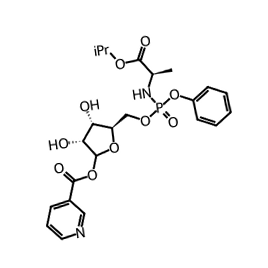 CC(C)OC(=O)[C@@H](C)NP(=O)(OC[C@H]1OC(OC(=O)c2cccnc2)[C@H](O)[C@@H]1O)Oc1ccccc1